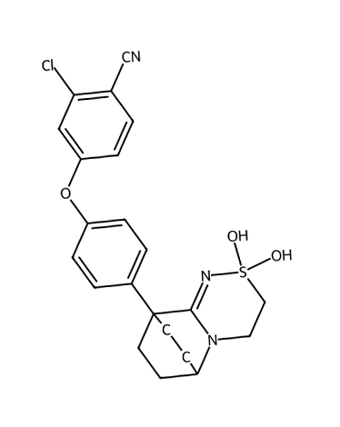 N#Cc1ccc(Oc2ccc(C34CCC(CC3)N3CCS(O)(O)N=C34)cc2)cc1Cl